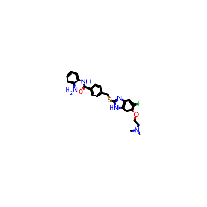 CN(C)CCOc1cc2[nH]c(SCc3ccc(C(=O)Nc4ccccc4N)cc3)nc2cc1F